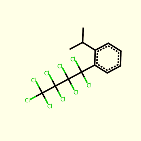 C[C](C)c1ccccc1C(Cl)(Cl)C(Cl)(Cl)C(Cl)(Cl)C(Cl)(Cl)Cl